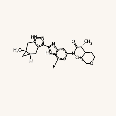 C[C@@H](C(=O)N(C)c1cc(F)c2[nH]c(-c3n[nH]c4c3C[C@@H]3C[C@]3(C)C4)nc2c1)C1CCOCC1